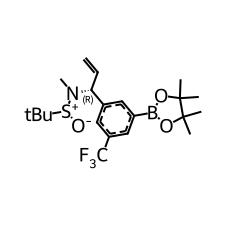 C=C[C@H](c1cc(B2OC(C)(C)C(C)(C)O2)cc(C(F)(F)F)c1)N(C)[S+]([O-])C(C)(C)C